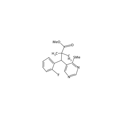 COC(=O)C(C)(C)C(c1ccccc1F)c1cncnc1SC